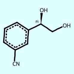 N#Cc1cccc([C@@H](O)CO)c1